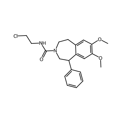 COc1cc2c(cc1OC)C(c1ccccc1)CN(C(=O)NCCCl)CC2